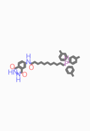 Cc1ccc([PH](CCCCCCCCCCC(=O)Nc2ccc3c(=O)[nH][nH]c(=O)c3c2)(c2ccc(C)cc2)c2ccc(C)cc2)cc1